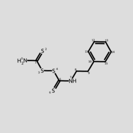 NC(=S)SSC(=S)NCCc1ccccc1